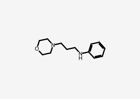 [c]1cccc(NCCCN2CCOCC2)c1